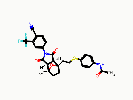 CC(=O)Nc1ccc(SCC[C@@]23CC[C@@](C)(O2)[C@H]2C(=O)N(c4ccc(C#N)c(C(F)(F)F)c4)C(=O)[C@H]23)cc1